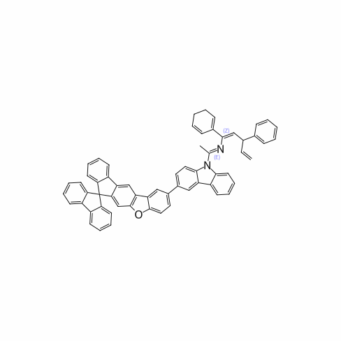 C=CC(/C=C(\N=C(/C)n1c2ccccc2c2cc(-c3ccc4oc5cc6c(cc5c4c3)-c3ccccc3C63c4ccccc4-c4ccccc43)ccc21)C1=CCCC=C1)c1ccccc1